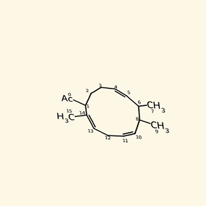 CC(=O)C1CCC=CC(C)C(C)C=CCC=C1C